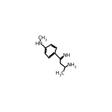 CNc1ccc(C(=N)CC(C)N)cc1